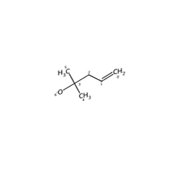 C=CCC(C)(C)[O]